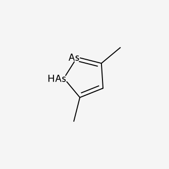 CC1=CC(C)=[As][AsH]1